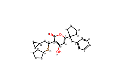 O=c1oc(C2(Cc3ccccc3)CCCC2)cc(O)c1C(CC1CC1)SC1CCCC1